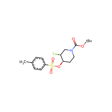 Cc1ccc(S(=O)(=O)O[C@@H]2CCN(C(=O)OC(C)(C)C)C[C@@H]2F)cc1